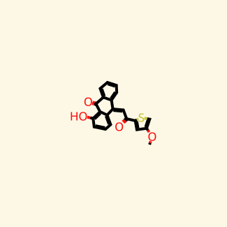 COc1csc(C(=O)C=C2c3ccccc3C(=O)c3c(O)cccc32)c1